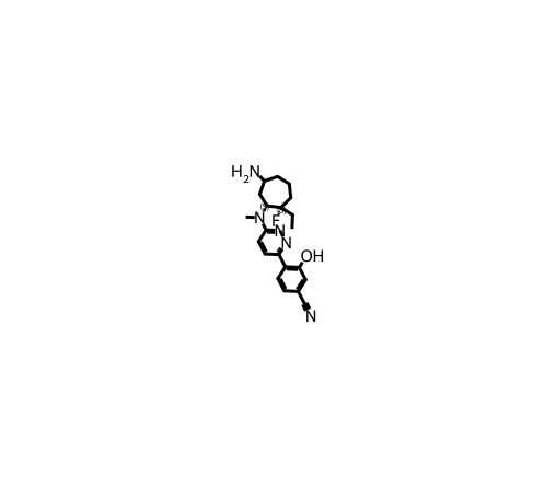 CC[C@]1(F)CCCC(N)C[C@@H]1N(C)c1ccc(-c2ccc(C#N)cc2O)nn1